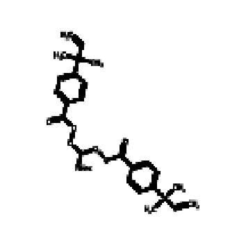 [CH2]CCCCC[C](OOC(=O)c1ccc([Si](C)(C)C=C)cc1)OOC(=O)c1ccc([Si](C)(C)C=C)cc1